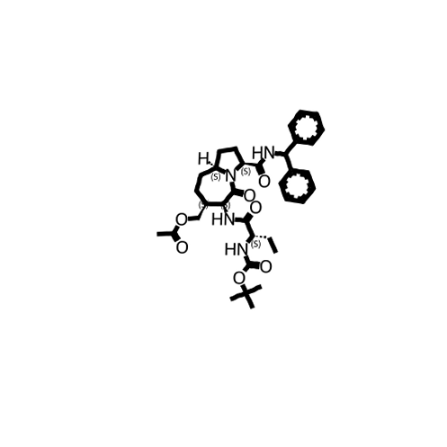 CC[C@H](NC(=O)OC(C)(C)C)C(=O)N[C@@H]1C(=O)N2[C@@H](CC[C@@H]1COC(C)=O)CC[C@H]2C(=O)NC(c1ccccc1)c1ccccc1